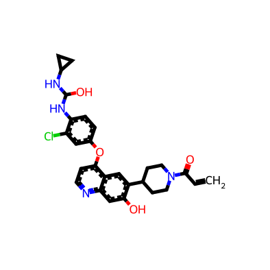 C=CC(=O)N1CCC(c2cc3c(Oc4ccc(NC(O)NC5CC5)c(Cl)c4)ccnc3cc2O)CC1